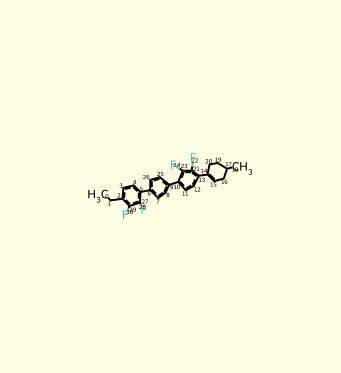 CCc1ccc(-c2ccc(-c3ccc(C4=CCC(C)CC4)c(F)c3F)cc2)c(F)c1F